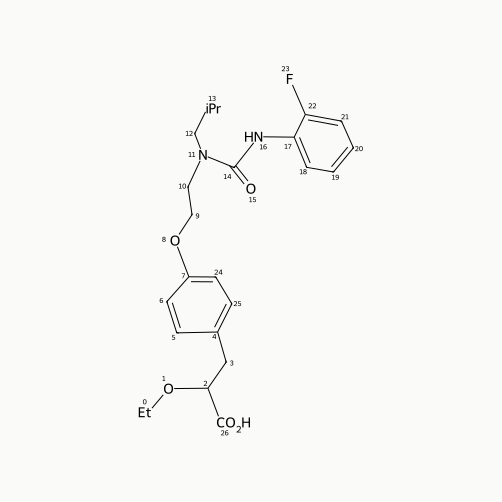 CCOC(Cc1ccc(OCCN(CC(C)C)C(=O)Nc2ccccc2F)cc1)C(=O)O